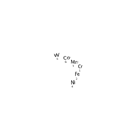 [Co].[Cr].[Fe].[Mn].[Ni].[W]